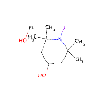 CC1(C)CC(O)CC(C)(C)N1I.CCO